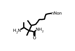 CCCCCCCCCCCCCC(C)C(C)(C(N)=O)C(C)N